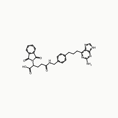 Nc1nc(CCCc2ccc(CNC(=O)CCC(C(=O)O)N3C(=O)c4ccccc4C3=O)cc2)c2nc[nH]c2n1